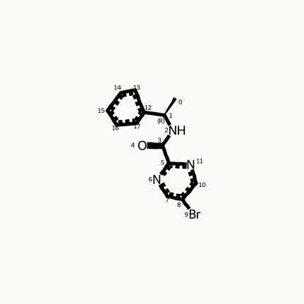 C[C@@H](NC(=O)c1ncc(Br)cn1)c1ccccc1